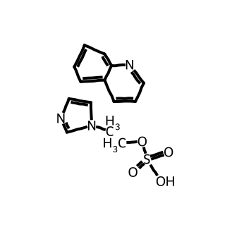 COS(=O)(=O)O.Cn1ccnc1.c1ccc2ncccc2c1